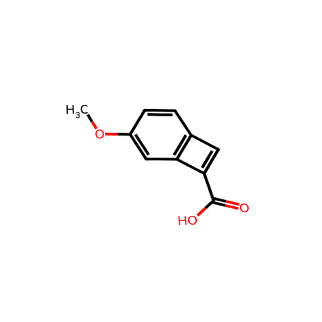 COc1ccc2c(c1)C(C(=O)O)=C2